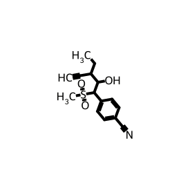 C#CC(CC)C(O)C(c1ccc(C#N)cc1)S(C)(=O)=O